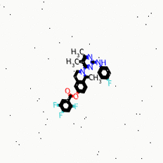 Cc1nc(Nc2ccc(F)cc2)nc(N2CCc3cc(OC(=O)c4cc(F)c(F)cc4F)ccc3C2C)c1C